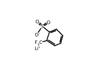 O=S(=O)([O-])c1ccccc1C(F)(F)F.[Li+]